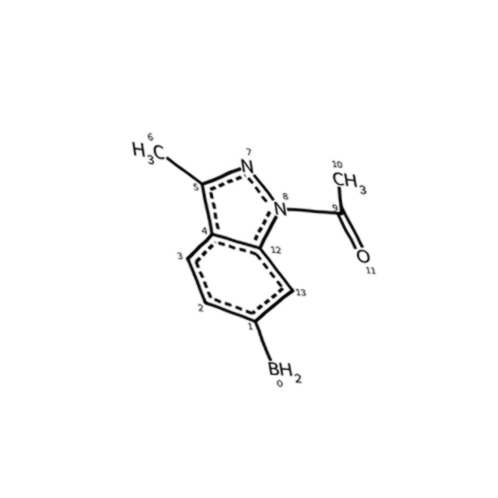 Bc1ccc2c(C)nn(C(C)=O)c2c1